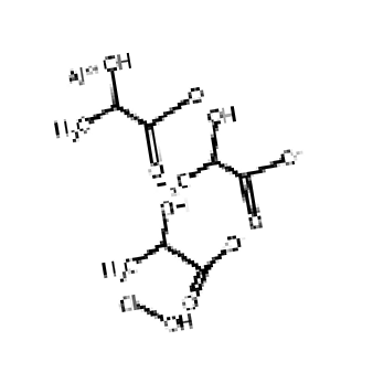 CC(O)C(=O)[O-].CC(O)C(=O)[O-].CC(O)C(=O)[O-].OCl.[Al+3]